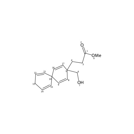 COC(=O)CCC1(CO)C=CC2(C=CCC=C2)C=C1